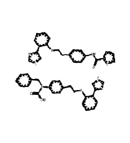 O=C(Nc1ccc(CCOc2ccccc2-c2c[nH]cn2)cc1)c1cccs1.O=C(O)N(Cc1ccccc1)c1ccc(CCOc2ccccc2-c2c[nH]cn2)cc1